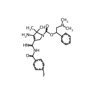 CN(C)CC(OC(=O)N1CC(C(=N)NC(=O)c2ccc(F)cc2)=C(N)C1(C)C)c1ccccc1